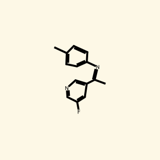 CC(=Nc1ccc(C)cc1)c1cncc(F)c1